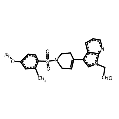 Cc1cc(OC(C)C)ccc1S(=O)(=O)N1CC=C(c2cn(CC=O)c3ncccc23)CC1